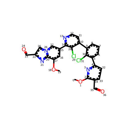 COc1nc(-c2cccc(-c3ccnc(-c4cc(OC)c5nc(C=O)cn5c4)c3Cl)c2Cl)ccc1C=O